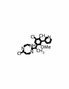 COc1c(C(C)c2nccc(Cl)ncc[nH]2)cc(Cl)c(C)c1-c1cccnc1